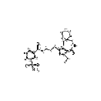 C=C1NCC2(CCOCC2)Cc2c(CCCOC(=O)c3cccc(S(N)(=O)=O)c3)nn(CC)c21